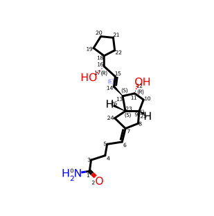 NC(=O)CCCC=C1C[C@H]2C[C@@H](O)[C@H](/C=C/[C@H](O)C3CCCC3)[C@H]2C1